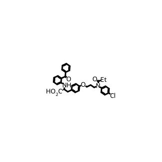 CCC(=O)N(CCCOc1ccc(C[C@H](Nc2ccccc2C(=O)c2ccccc2)C(=O)O)cc1)c1ccc(Cl)cc1